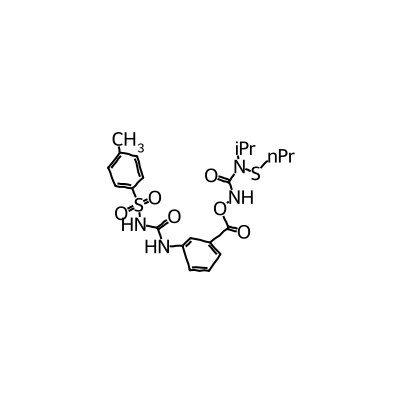 CCCSN(C(=O)NOC(=O)c1cccc(NC(=O)NS(=O)(=O)c2ccc(C)cc2)c1)C(C)C